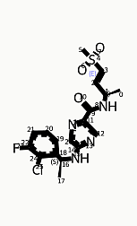 C[C@H](/C=C/S(C)(=O)=O)NC(=O)c1cnc(N[C@@H](C)c2cccc(F)c2Cl)cn1